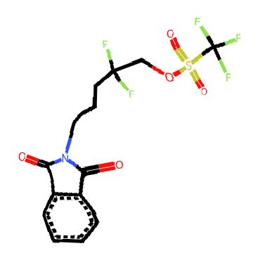 O=C1c2ccccc2C(=O)N1CCCC(F)(F)COS(=O)(=O)C(F)(F)F